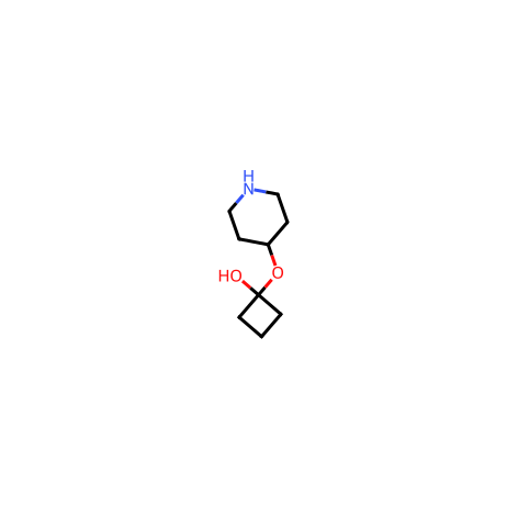 OC1(OC2CCNCC2)CCC1